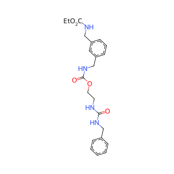 CCOC(=O)NCc1cccc(CNC(=O)OCCNC(=O)NCc2ccccc2)c1